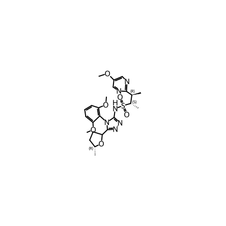 COc1cnc([C@@H](C)[C@H](C)S(=O)(=O)Nc2nnc(C3CC[C@@H](C)O3)n2-c2c(OC)cccc2OC)nc1